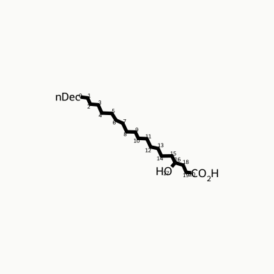 CCCCCCCCCCCCCCCCCCCCCCCCCC(O)CCC(=O)O